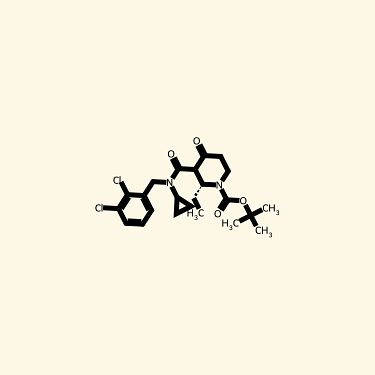 CC[C@@H]1C(C(=O)N(Cc2cccc(Cl)c2Cl)C2CC2)C(=O)CCN1C(=O)OC(C)(C)C